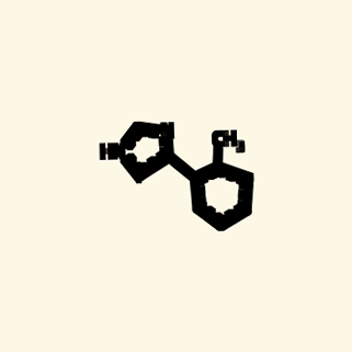 Cc1ccccc1-c1[c][nH]cn1